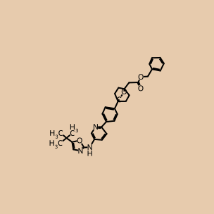 CC(C)(C)c1cnc(Nc2ccc(-c3ccc(C45CCC(CC(=O)OCc6ccccc6)(CC4)OC5)cc3)nc2)o1